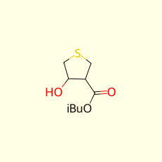 CC(C)COC(=O)C1CSCC1O